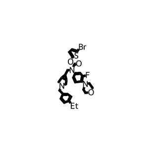 CCc1ccc(CN2CC3C(C2)C3CN(C(=O)Oc2ccc(Br)s2)c2ccc(N3CCOCC3)c(F)c2)cc1